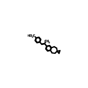 C/C(=C\c1ccc(C(=O)O)cc1)c1ccc2c(c1)CCC1(CC2)CC1